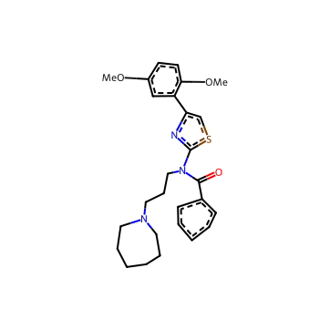 COc1ccc(OC)c(-c2csc(N(CCCN3CCCCCC3)C(=O)c3ccccc3)n2)c1